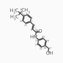 CC(C)(C)c1ccc(/C=C/C(=O)Nc2ccc(CO)cc2)cc1